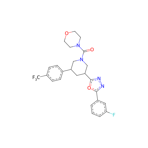 O=C(N1CCOCC1)N1CC(c2ccc(C(F)(F)F)cc2)CC(c2nnc(-c3cccc(F)c3)o2)C1